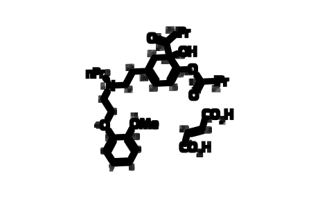 CCCN(CCOc1ccccc1OC)CCC1=CC=C(OC(=O)C(C)C)C(O)(C(=O)C(C)C)C1.O=C(O)C=CC(=O)O